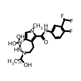 C[C@H](O)N1CCc2c(cn(C)c2C(=O)Nc2ccc(F)c(C(F)F)c2)[N+](O)(O)N1